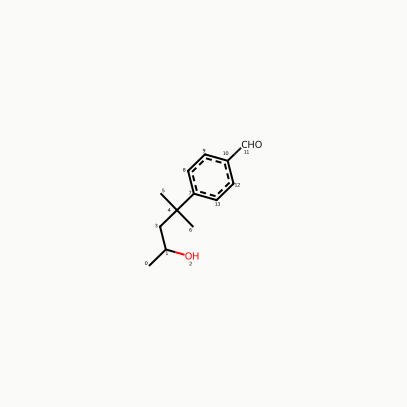 CC(O)CC(C)(C)c1ccc(C=O)cc1